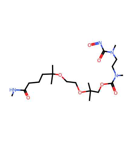 CNC(=O)CCCC(C)(C)OCCOC(C)(C)COC(=O)N(C)CCN(C)C(=O)N=O